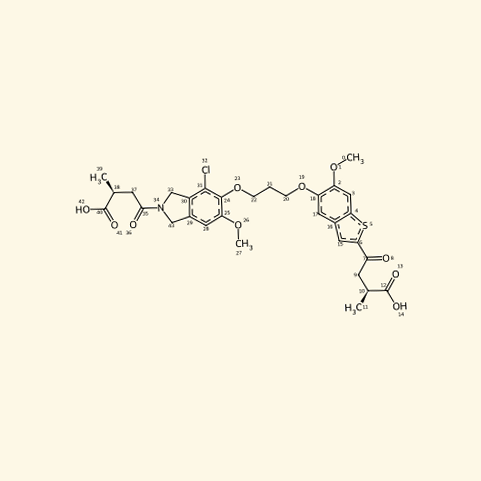 COc1cc2sc(C(=O)C[C@H](C)C(=O)O)cc2cc1OCCCOc1c(OC)cc2c(c1Cl)CN(C(=O)C[C@H](C)C(=O)O)C2